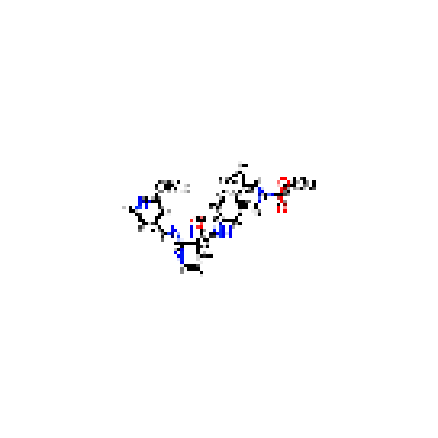 COc1cc(CNc2ncccc2C(=O)Nc2ccc3c(c2)CN(C(=O)OC(C)(C)C)CC32CC2)ccn1